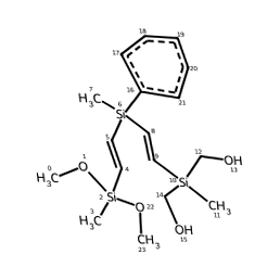 CO[Si](C)(C=C[Si](C)(C=C[Si](C)(CO)CO)c1ccccc1)OC